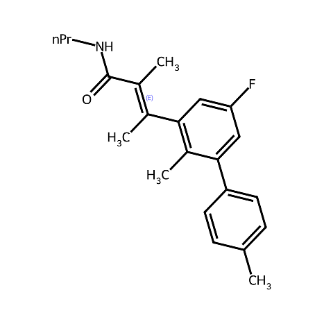 CCCNC(=O)/C(C)=C(\C)c1cc(F)cc(-c2ccc(C)cc2)c1C